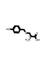 N[C@@H](CSCc1ccc(O)cc1)C(=O)O